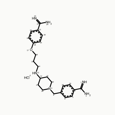 Cl.N=C(N)c1ccc(CN2CCC(NCCCOc3ccc(C(=N)N)cc3)CC2)cc1